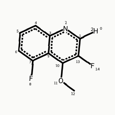 [2H]c1nc2cccc(F)c2c(OC)c1F